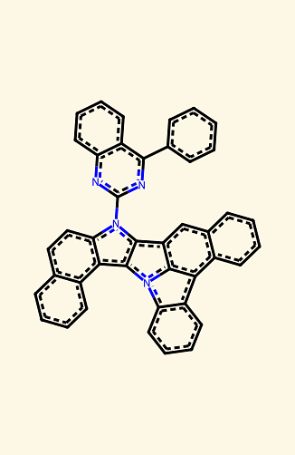 c1ccc(-c2nc(-n3c4ccc5ccccc5c4c4c3c3cc5ccccc5c5c6ccccc6n4c35)nc3ccccc23)cc1